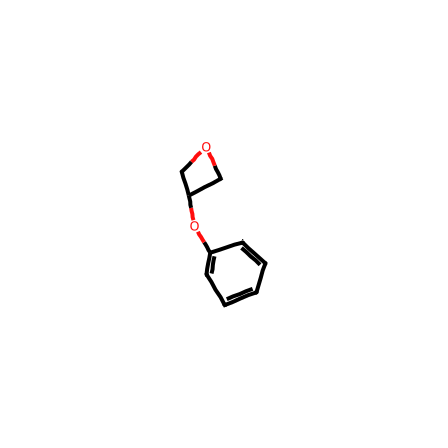 [c]1ccccc1OC1COC1